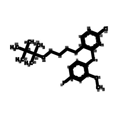 COc1cc(F)ccc1Sc1nc(Cl)ncc1CCCCO[Si](C)(C)C(C)(C)C